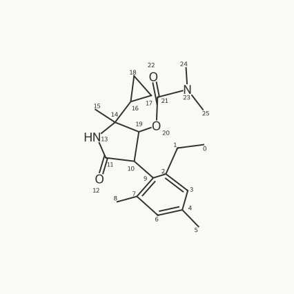 CCc1cc(C)cc(C)c1C1C(=O)NC(C)(C2CC2)C1OC(=O)N(C)C